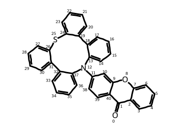 O=c1c2ccccc2oc2cc(N3c4ccccc4-c4ccccc4Sc4ccccc4-c4ccccc43)ccc12